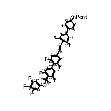 CCCCCc1ccc(-c2cc(C)c(C#Cc3cc(F)c(-c4cc(F)c(C(F)(F)Oc5cc(F)c(F)c(F)c5)c(F)c4)c(F)c3)c(F)c2)cc1